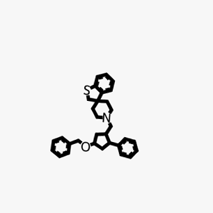 c1ccc(COC2CC(CN3CCC4(CC3)CSc3ccccc34)C(c3ccccc3)C2)cc1